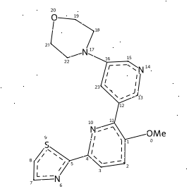 COc1ccc(-c2nccs2)nc1-c1[c]ncc(N2CCOCC2)c1